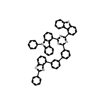 c1ccc(-c2nc3c(-c4cccc(-c5cccc(-c6nc(-c7cccc8sc9ccccc9c78)nc(-c7cccc8c7c7ccccc7n8-c7ccccc7)n6)c5)c4)cccc3o2)cc1